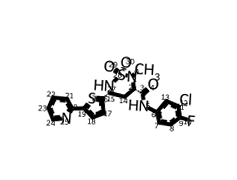 CN1[C@H](C(=O)Nc2ccc(F)c(Cl)c2)C[C@H](c2ccc(-c3ccccn3)s2)NS1(=O)=O